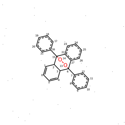 C1=CC2C(C=C1)C1(c3ccccc3)OOC2(c2ccccc2)c2ccccc21